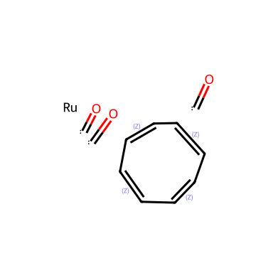 C1=C\C=C/C=C\C=C/1.[C]=O.[C]=O.[C]=O.[Ru]